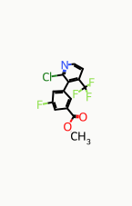 COC(=O)c1cc(F)cc(-c2c(C(F)(F)F)ccnc2Cl)c1